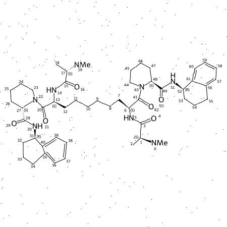 CN[C@@H](C)C(=O)N[C@@H](CCCCCC[C@H](NC(=O)[C@H](C)NC)C(=O)N1CCCC[C@H]1C(=O)N[C@@H]1CCCc2ccccc21)C(=O)N1CCCC[C@H]1C(=O)N[C@@H]1CCCc2ccccc21